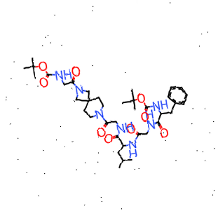 CC(C)CC(NC(=O)CNC(=O)C(Cc1ccccc1)NC(=O)OC(C)(C)C)C(=O)NCC(=O)N1CCC2(CC1)CN(C(=O)CNC(=O)OC(C)(C)C)C2